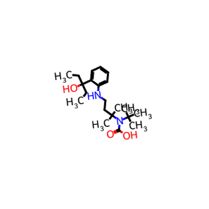 CCC(O)(CC)c1ccccc1NCCC(C)(C)N(C(=O)O)C(C)(C)C